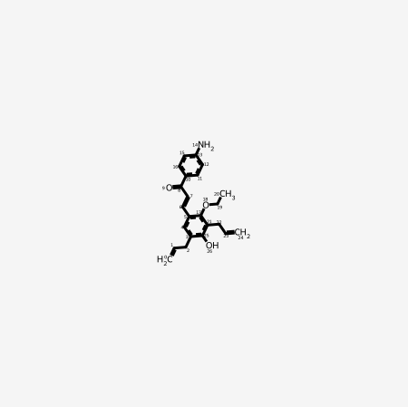 C=CCc1cc(C=CC(=O)c2ccc(N)cc2)c(OCC)c(CC=C)c1O